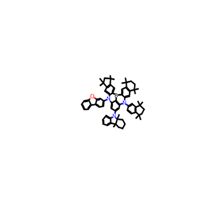 CC1(C)CCC(C)(C)c2cc(N3c4cc5c(cc4B4c6cc7c(cc6N(c6ccc8c(c6)oc6ccccc68)c6cc(N8c9ccccc9C9(C)CCCCC89C)cc3c64)C(C)(C)CC7(C)C)C(C)(C)CCC5(C)C)ccc21